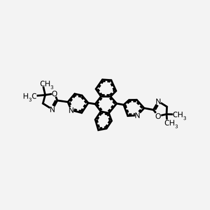 CC1(C)CN=C(c2ccc(-c3c4ccccc4c(-c4ccc(C5=NCC(C)(C)O5)nc4)c4ccccc34)cn2)O1